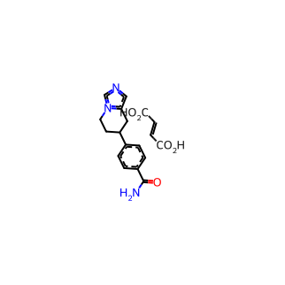 NC(=O)c1ccc(C2CCn3cncc3C2)cc1.O=C(O)C=CC(=O)O